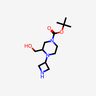 CC(C)(C)OC(=O)N1CCN(C2CNC2)C(CO)C1